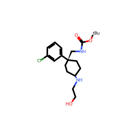 CC(C)(C)OC(=O)NC[C@]1(c2cccc(Cl)c2)CC[C@H](NCCO)CC1